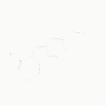 COc1ccc2c(CBr)c(C(=O)O)oc2c1